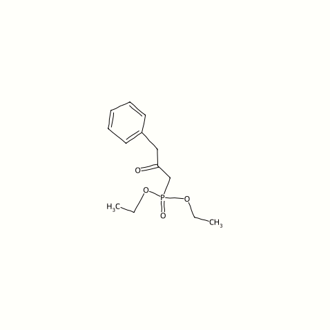 CCOP(=O)(CC(=O)Cc1ccccc1)OCC